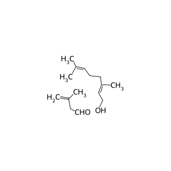 C=C(C)CC=O.CC(C)=CCCC(C)=CCO